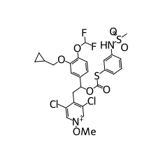 CO[n+]1cc(Cl)c(CC(OC(=O)Sc2cccc(NS(C)(=O)=O)c2)c2ccc(OC(F)F)c(OCC3CC3)c2)c(Cl)c1